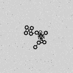 c1ccc(-c2ccc3c(c2)c2ccccc2n3-c2nc(-c3ccccc3)c3oc4ccc(-c5cccc6c5-c5ccccc5C65c6ccccc6-c6ccccc65)cc4c3n2)cc1